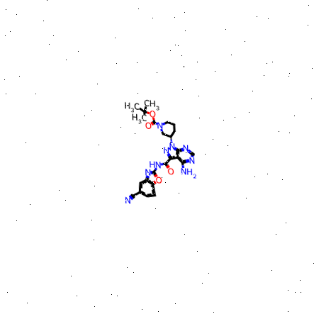 CC(C)(C)OC(=O)N1CCC[C@@H](n2nc(C(=O)Nc3nc4cc(C#N)ccc4o3)c3c(N)ncnc32)C1